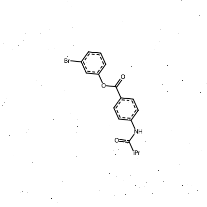 CC(C)C(=O)Nc1ccc(C(=O)Oc2cccc(Br)c2)cc1